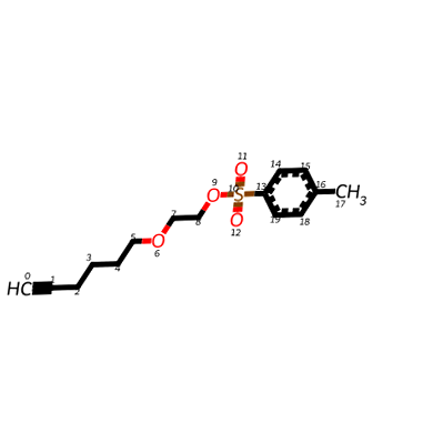 C#CCCCCOCCOS(=O)(=O)c1ccc(C)cc1